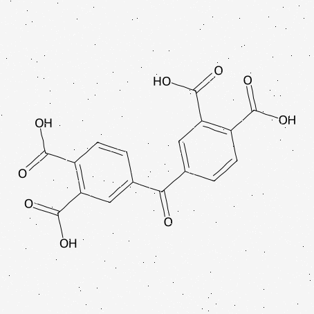 O=C(c1ccc(C(=O)O)c(C(=O)O)c1)c1ccc(C(=O)O)c(C(=O)O)c1